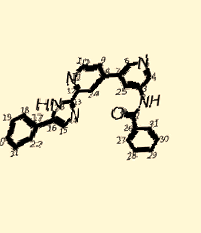 O=C(Nc1cncc(-c2ccnc(-c3ncc(-c4ccccc4)[nH]3)c2)c1)c1ccccc1